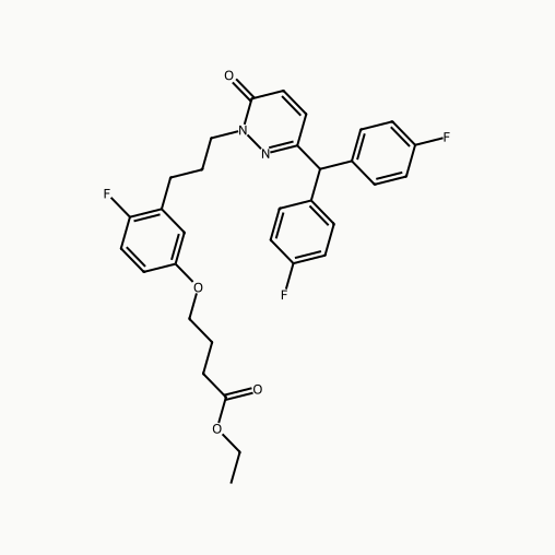 CCOC(=O)CCCOc1ccc(F)c(CCCn2nc(C(c3ccc(F)cc3)c3ccc(F)cc3)ccc2=O)c1